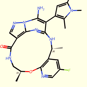 Cc1cc(-c2c3nc4c(cnn4c2N)C(=O)NC[C@H](C)Oc2ncc(F)cc2[C@@H](C)N3)c(C)n1C